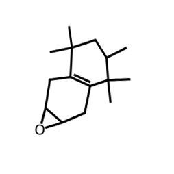 CC1CC(C)(C)C2=C(CC3OC3C2)C1(C)C